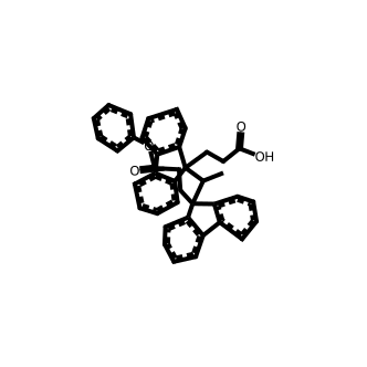 CC(C1(CCC(=O)O)c2ccccc2-c2ccccc21)C1(CCC(=O)Oc2ccccc2)c2ccccc2-c2ccccc21